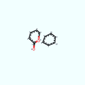 O=c1cccco1.c1ccccc1